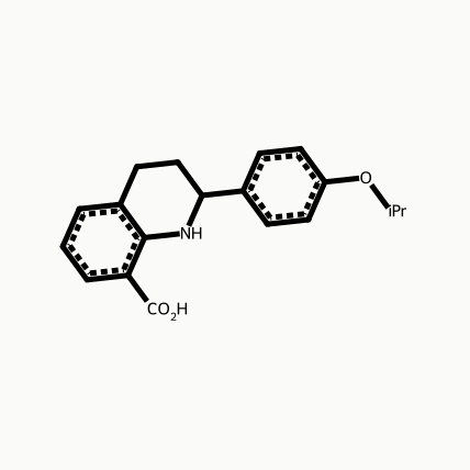 CC(C)Oc1ccc(C2CCc3cccc(C(=O)O)c3N2)cc1